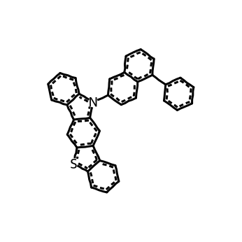 c1ccc(-c2cccc3cc(-n4c5ccccc5c5cc6sc7ccccc7c6cc54)ccc23)cc1